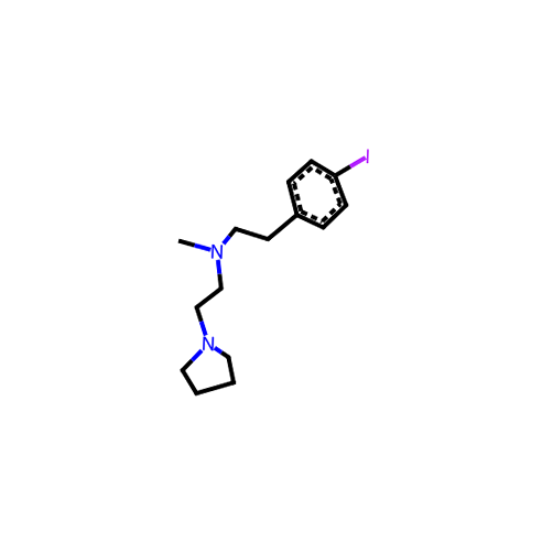 CN(CCc1ccc(I)cc1)CCN1CCCC1